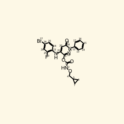 O=C(NOCC1CC1)Oc1nn(-c2ccccc2)c(=O)cc1Nc1ccc(Br)cc1F